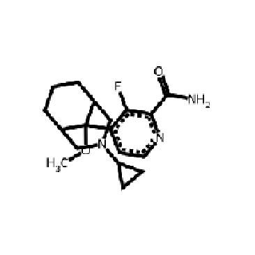 COC1(c2ccnc(C(N)=O)c2F)C2CCCC1CN(C1CC1)C2